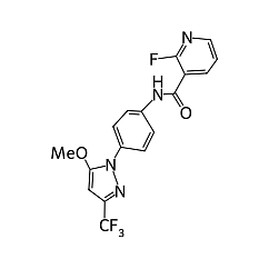 COc1cc(C(F)(F)F)nn1-c1ccc(NC(=O)c2cccnc2F)cc1